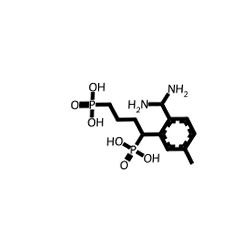 Cc1ccc(C(N)N)c(C(CCCP(=O)(O)O)P(=O)(O)O)c1